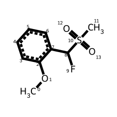 COc1ccccc1C(F)S(C)(=O)=O